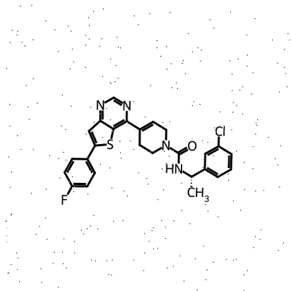 C[C@H](NC(=O)N1CC=C(c2ncnc3cc(-c4ccc(F)cc4)sc23)CC1)c1cccc(Cl)c1